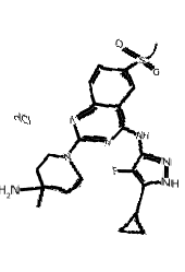 CC1(N)CCN(c2nc(Nc3n[nH]c(C4CC4)c3F)c3cc(S(C)(=O)=O)ccc3n2)CC1.Cl